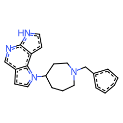 c1ccc(CN2CCCC(n3ccc4cnc5[nH]ccc5c43)CC2)cc1